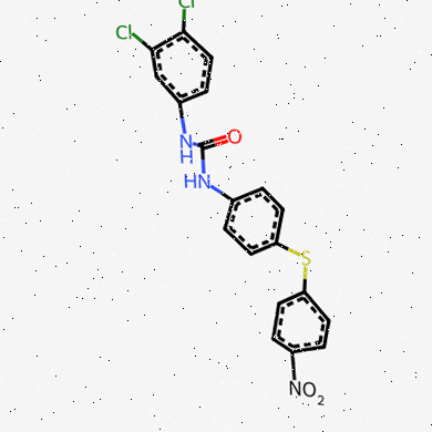 O=C(Nc1ccc(Sc2ccc([N+](=O)[O-])cc2)cc1)Nc1ccc(Cl)c(Cl)c1